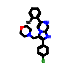 N#Cc1ccccc1C1=CN2C(CN3CCOCC3)=C(c3ccc(Cl)cc3)NC2CN1